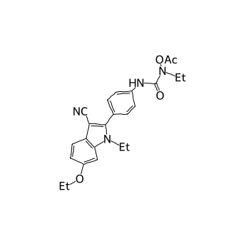 CCOc1ccc2c(C#N)c(-c3ccc(NC(=O)N(CC)OC(C)=O)cc3)n(CC)c2c1